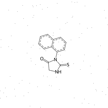 O=C1CNC(=S)N1c1cccc2ccccc12